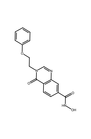 O=C(NO)c1ccc2c(=O)n(CCOc3ccccc3)cnc2c1